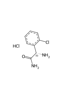 Cl.NC(=O)[C@@H](N)c1ccccc1Cl